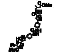 COC(=O)CC(C)CNC(=O)c1cc(-c2ccc(NC(=O)Nc3ccc(-c4cc(C(=O)NC(C(=O)OC)C(C)C)on4)cc3)cc2)no1